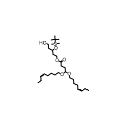 CC/C=C\CCCCOC(CCC(=O)OCCC(CCO)O[Si](C)(C)C(C)(C)C)OCCCC/C=C\CC